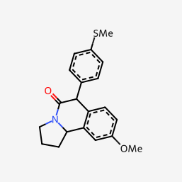 COc1ccc2c(c1)C1CCCN1C(=O)C2c1ccc(SC)cc1